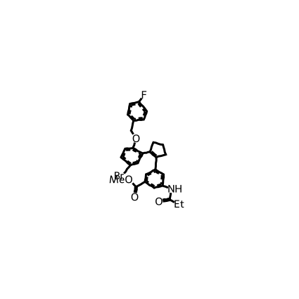 CCC(=O)Nc1cc(C(=O)OC)cc(C2=C(c3cc(Br)ccc3OCc3ccc(F)cc3)CCC2)c1